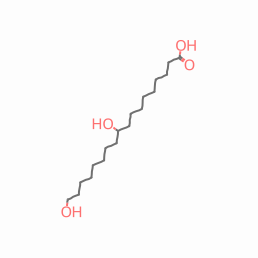 O=C(O)CCCCCCCCC(O)CCCCCCCCO